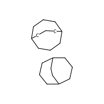 C1CC2CCCC(C1)CC2.C1CC2CCCC(C1)CCC2